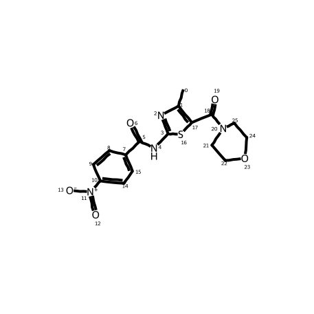 Cc1nc(NC(=O)c2ccc([N+](=O)[O-])cc2)sc1C(=O)N1CCOCC1